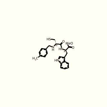 COC(=O)[C@@H](Cc1c[nH]c2ccccc12)NC(=O)[C@@H](CS)NCc1ccc(C)cc1